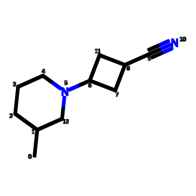 CC1CCCN(C2CC(C#N)C2)C1